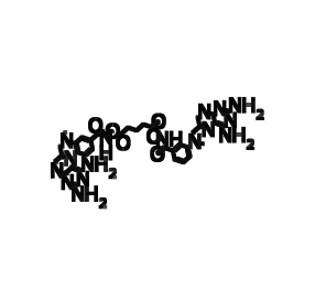 CN(Cc1cnc2nc(N)nc(N)c2n1)c1cccc(C(=O)NOC(=O)CCCC(=O)ONC(=O)c2cccc(N(C)Cc3cnc4nc(N)nc(N)c4n3)c2)c1